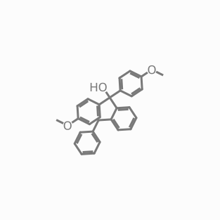 COc1ccc(C(O)(c2ccc(OC)cc2)c2ccccc2Cc2ccccc2)cc1